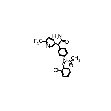 C[S+]([O-])N(Cc1ccccc1Cl)c1ccc(C(C(N)=O)c2ccc(C(F)(F)F)nc2)cc1